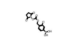 O=C(OCc1ccc(B(O)O)cc1Cl)ON1C(=O)CCC1=O